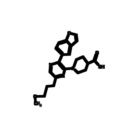 COCCCc1cnc(-c2ccc3occc3c2)c(N2CCC(C(=O)O)CC2)n1